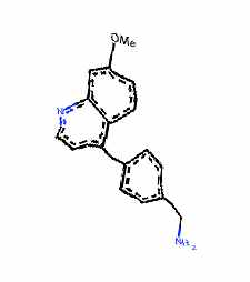 COc1ccc2c(-c3ccc(CN)cc3)ccnc2c1